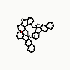 OC1(Cc2cccc3oc4cccc(CC5(O)c6ccccc6-c6cc7ccccc7cc65)c4c23)c2ccccc2-c2cc3ccccc3cc21